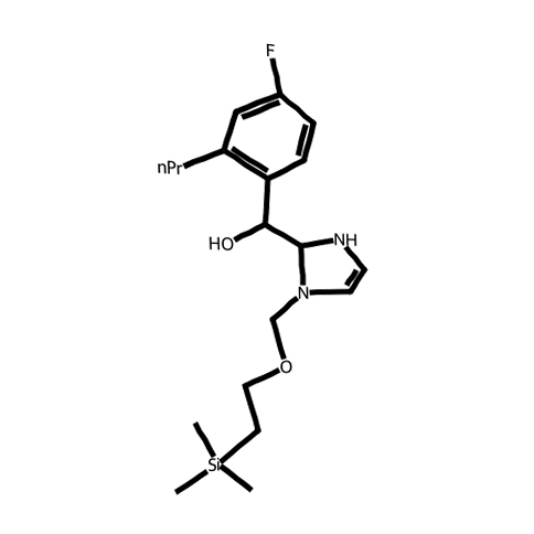 CCCc1cc(F)ccc1C(O)C1NC=CN1COCC[Si](C)(C)C